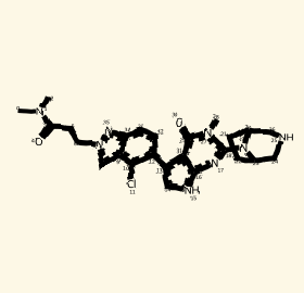 CN(C)C(=O)CCn1cc2c(Cl)c(-c3c[nH]c4nc(N5C6CCC5CNC6)n(C)c(=O)c34)ccc2n1